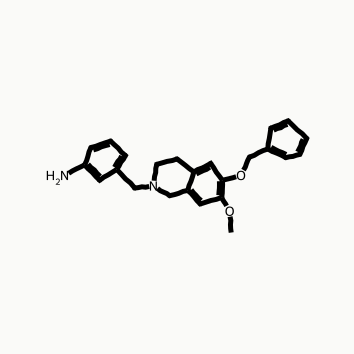 COc1cc2c(cc1OCc1ccccc1)CCN(Cc1cccc(N)c1)C2